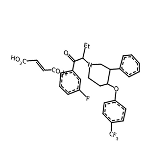 CCC(C(=O)c1cccc(F)c1)N1CCC(Oc2ccc(C(F)(F)F)cc2)C(c2ccccc2)C1.O=C(O)C=CC(=O)O